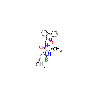 CC#CCn1c(Br)nc2c1c(=O)n(Cc1nc3ccccc3c3ccccc13)c(=O)n2C